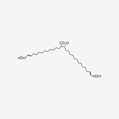 CCCCCCCCC=CCCCCCCCCCCCCC(CCCCCCCCCCC=CCCCCCCCC)C(=O)O